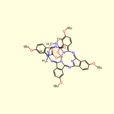 CN(C)C(=O)O[Si]1(OC(=O)N(C)C)n2c3c4cc(OC(C)(C)C)ccc4c2/N=C2N=C(/N=c4/c5cc(OC(C)(C)C)ccc5/c(n41)=N/C1=NC(=N\3)/c3ccc(OC(C)(C)C)cc31)c1ccc(OC(C)(C)C)cc1\2